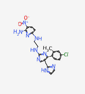 Cc1cc(Cl)ccc1-c1nc(NCCNc2ccc([N+](=O)[O-])c(N)n2)ncc1-c1ncc[nH]1